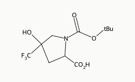 CC(C)(C)OC(=O)N1CC(O)(C(F)(F)F)CC1C(=O)O